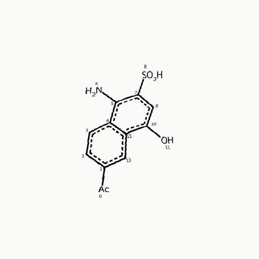 CC(=O)c1ccc2c(N)c(S(=O)(=O)O)cc(O)c2c1